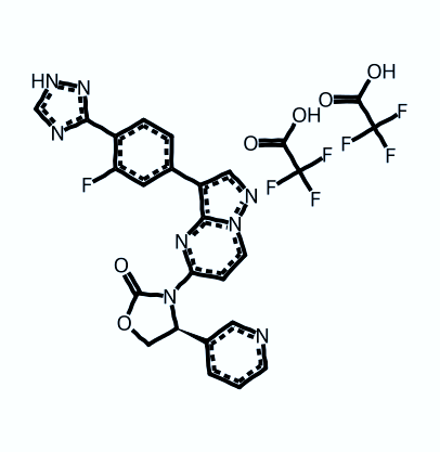 O=C(O)C(F)(F)F.O=C(O)C(F)(F)F.O=C1OC[C@H](c2cccnc2)N1c1ccn2ncc(-c3ccc(-c4nc[nH]n4)c(F)c3)c2n1